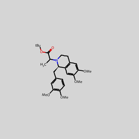 COc1ccc(C[C@@H]2c3cc(OC)c(OC)cc3CCN2C(C)C(=O)OC(C)(C)C)cc1OC